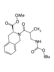 COOC(=O)[C@@H]1Cc2ccccc2CN1C(=O)C(C)CNC(=O)OC(C)(C)C